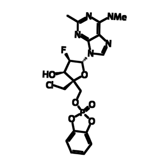 CNc1nc(C)nc2c1ncn2[C@@H]1O[C@](CCl)(COP2(=O)Oc3ccccc3O2)[C@@H](O)[C@H]1F